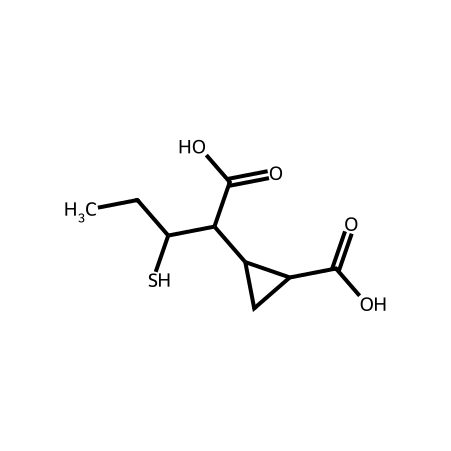 CCC(S)C(C(=O)O)C1CC1C(=O)O